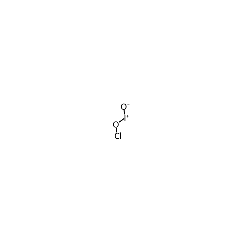 [O-][I+]OCl